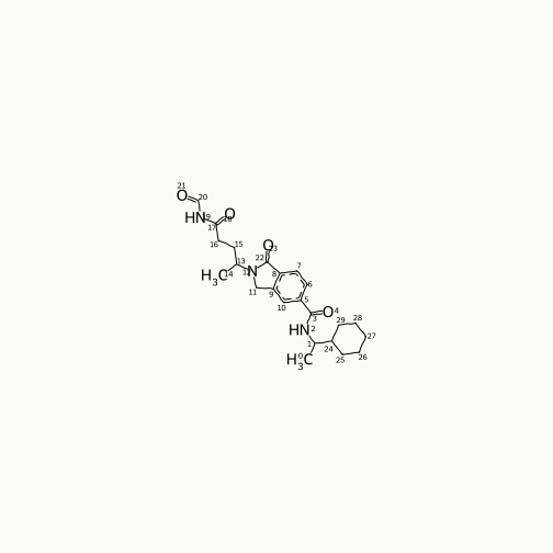 CC(NC(=O)c1ccc2c(c1)CN(C(C)CCC(=O)NC=O)C2=O)C1CCCCC1